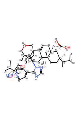 CC(C)[C@@H](C)[C@@]1(C)CC[C@]2(C)[C@H]3CC[C@@H]4[C@@]5(COC[C@@]4(C)[C@@H](OC[C@](C)(N)C(C)C)[C@H](n4ncnc4-c4cc[n+]([O-])cc4)C5)C3=CC[C@@]2(C)[C@@H]1C(=O)O